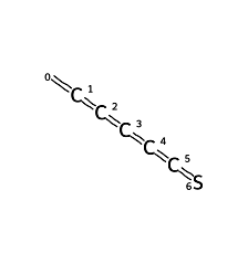 C=C=C=C=C=C=S